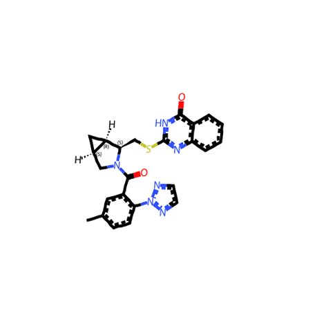 Cc1ccc(-n2nccn2)c(C(=O)N2C[C@H]3C[C@H]3[C@H]2CSc2nc3ccccc3c(=O)[nH]2)c1